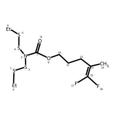 CCSSN(SSCC)C(=O)OCCCC(C)=C(F)F